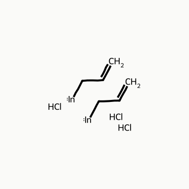 C=C[CH2][In].C=C[CH2][In].Cl.Cl.Cl